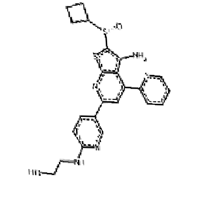 Nc1c([S@@+]([O-])C2CCC2)sc2nc(-c3ccc(NCCO)nc3)cc(-c3ccccn3)c12